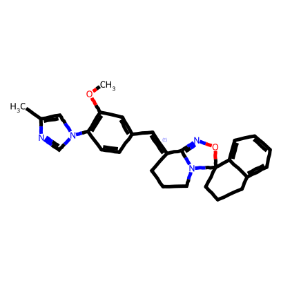 COc1cc(/C=C2\CCCN3C2=NOC32CCCc3ccccc32)ccc1-n1cnc(C)c1